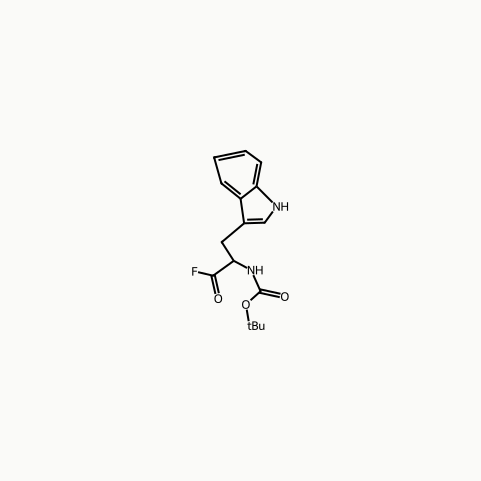 CC(C)(C)OC(=O)NC(Cc1c[nH]c2ccccc12)C(=O)F